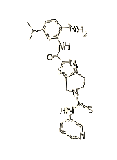 CC(C)c1ccc(N)c(NC(=O)c2nc3c(s2)CN(C(=S)Nc2cccnc2)CC3)c1